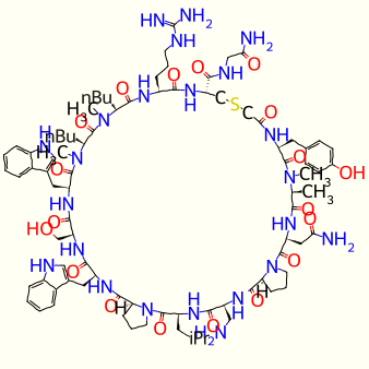 CCCC[C@H]1C(=O)N(C)[C@@H](CCCC)C(=O)N[C@@H](CCCNC(=N)N)C(=O)N[C@H](C(=O)NCC(N)=O)CSCC(=O)N[C@@H](Cc2ccc(O)cc2)C(=O)N(C)[C@@H](C)C(=O)N[C@@H](CC(N)=O)C(=O)N2CCC[C@H]2C(=O)N[C@@H](CN)C(=O)N[C@@H](CC(C)C)C(=O)N2CCC[C@H]2C(=O)N[C@@H](Cc2c[nH]c3ccccc23)C(=O)N[C@@H](CO)C(=O)N[C@@H](Cc2c[nH]c3ccccc23)C(=O)N1C